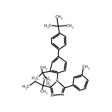 CCC(C)(C)c1nnc(-c2cccc(C)c2)n1-c1ccc(-c2ccc(C(C)(C)C)cc2)cc1C(C)(C)C